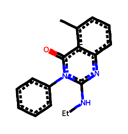 CCNc1nc2cccc(C)c2c(=O)n1-c1ccccc1